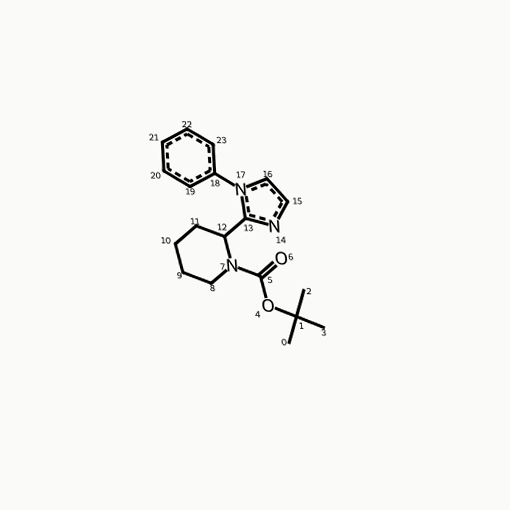 CC(C)(C)OC(=O)N1CCCCC1c1nccn1-c1ccccc1